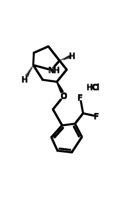 Cl.FC(F)c1ccccc1CO[C@H]1C[C@H]2CC[C@@H](C1)N2